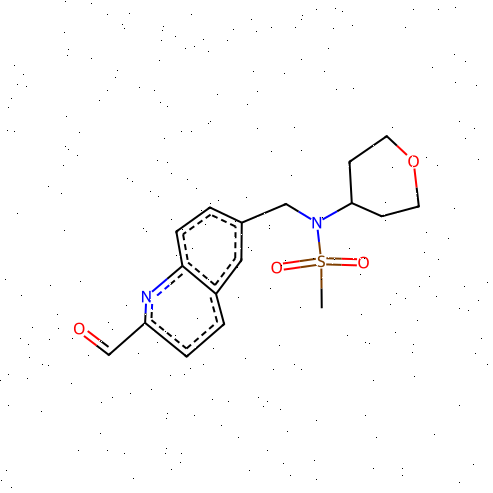 CS(=O)(=O)N(Cc1ccc2nc(C=O)ccc2c1)C1CCOCC1